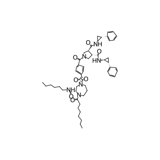 CCCCCCCC(=O)N1CCCN(S(=O)(=O)c2ccc(C(=O)N3C[C@@H](C(=O)N[C@H]4C[C@@H]4c4ccccc4)[C@H](C(=O)N[C@H]4C[C@@H]4c4ccccc4)C3)cc2)C[C@H]1C(=O)NCCCCCC